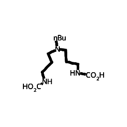 CCCCN(CCCNC(=O)O)CCCNC(=O)O